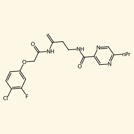 C=C(CCNC(=O)c1cnc(CCC)cn1)NC(=O)COc1ccc(Cl)c(F)c1